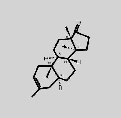 CC1=CC[C@@]2(C)[C@@H](CC[C@@H]3[C@@H]2CC[C@]2(C)C(=O)CC[C@@H]32)C1